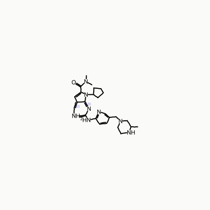 C=C(/N=C1\C(=C/N)C=C(C(=O)N(C)C)N1C1CCCC1)Nc1ccc(CN2CCNC(C)C2)cn1